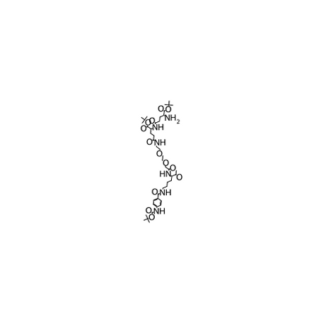 CC(=O)C(CCCCNC(=O)c1ccc(NC(=O)OC(C)(C)C)cc1)NC(=O)COCCOCCNC(=O)CCC(NC(=O)CCC(N)C(=O)OC(C)(C)C)C(=O)OC(C)(C)C